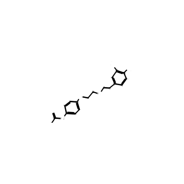 CC(=O)Nc1ccc(OCCNCCc2ccc(O)c(O)c2)cc1.Cl